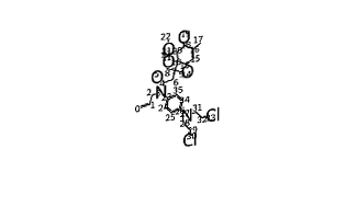 C=CCN(C(=O)CC(C)(C)C1(OC)C(=O)C=C(C)C(=O)C1OC)c1ccc(N(CCCl)CCCl)cc1